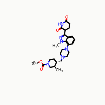 C[C@H]1CN(C(=O)OC(C)(C)C)CC[C@@H]1CN1CCN(c2cccc3c(C4CCC(=O)NC4=O)nn(C)c23)CC1